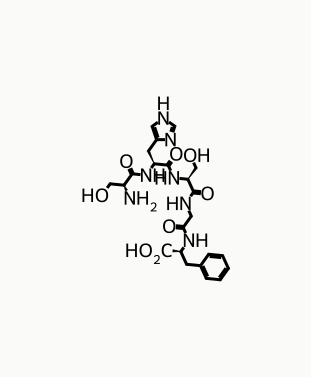 N[C@@H](CO)C(=O)N[C@@H](Cc1c[nH]cn1)C(=O)N[C@@H](CO)C(=O)NCC(=O)N[C@@H](Cc1ccccc1)C(=O)O